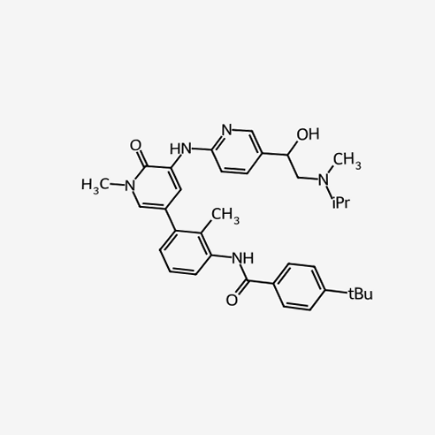 Cc1c(NC(=O)c2ccc(C(C)(C)C)cc2)cccc1-c1cc(Nc2ccc(C(O)CN(C)C(C)C)cn2)c(=O)n(C)c1